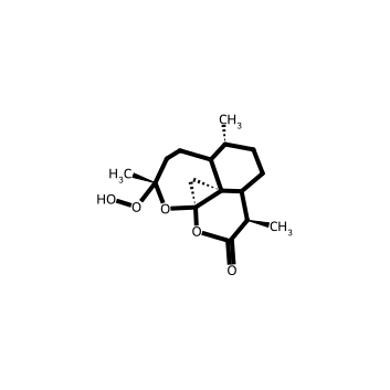 C[C@@H]1CCC2[C@@H](C)C(=O)O[C@]34C[C@]23C1CC[C@@](C)(OO)O4